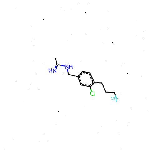 CC(=N)NCc1ccc(CCC[18F])c(Cl)c1